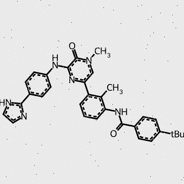 Cc1c(NC(=O)c2ccc(C(C)(C)C)cc2)cccc1-c1cn(C)c(=O)c(Nc2ccc(-c3ncc[nH]3)cc2)n1